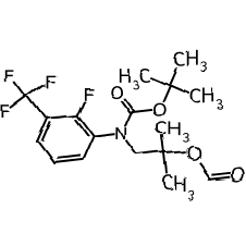 CC(C)(C)OC(=O)N(CC(C)(C)OC=O)c1cccc(C(F)(F)F)c1F